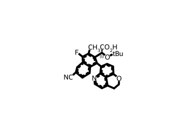 Cc1c([C@H](OC(C)(C)C)C(=O)O)c(-c2ccc3c4c(ccnc24)CCO3)c2ccc(C#N)cc2c1F